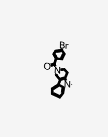 O=C(c1ccc(Br)cc1)N1CCC2=C(C1)c1ccccc1[N]2